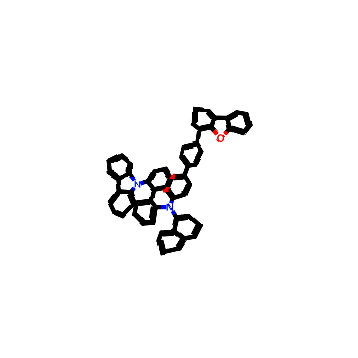 c1ccc(N(c2ccc(-c3ccc(-c4cccc5c4oc4ccccc45)cc3)cc2)c2cccc3ccccc23)c(-c2ccccc2-n2c3ccccc3c3ccccc32)c1